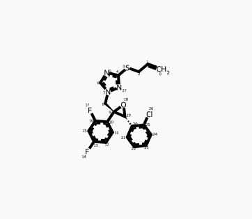 C=CCSc1ncn(C[C@@]2(c3ccc(F)cc3F)O[C@@H]2c2ccccc2Cl)n1